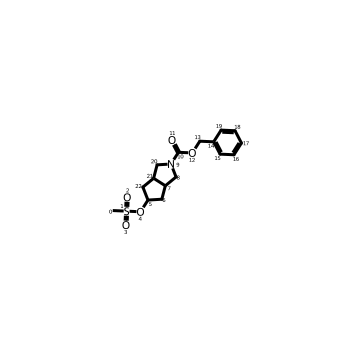 CS(=O)(=O)OC1CC2CN(C(=O)OCc3ccccc3)CC2C1